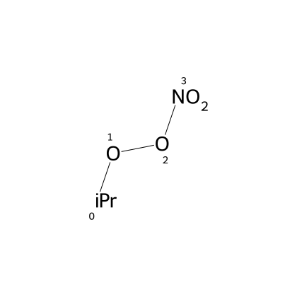 CC(C)OO[N+](=O)[O-]